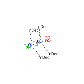 CCCCCCCCCCCCCCCCCC[N+](C)(CCl)CCCCCCCCCCCCCCCCCC.CCCCCCCCCCCCCCCCCC[N+](C)(CCl)CCCCCCCCCCCCCCCCCC.O=S(=O)([O-])[O-]